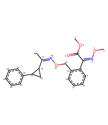 CO/N=C(\C(=O)OC)c1ccccc1CO/N=C(/C)C1CC1c1ccccc1